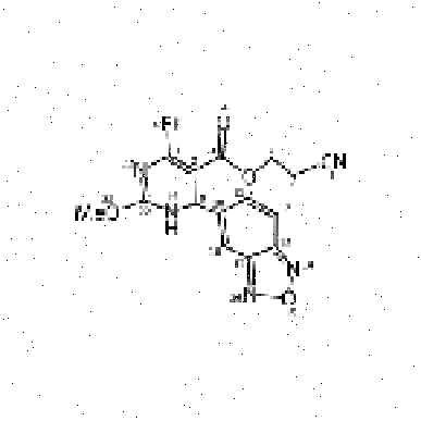 CCC1=C(C(=O)OCCC#N)C(c2ccc3nonc3c2)NC(OC)=N1